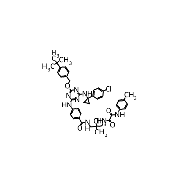 Cc1ccc(NC(=O)C(=O)NCC(C)(C)CNC(=O)c2ccc(Nc3nc(NC4(c5ccc(Cl)cc5)CC4)nc(OCc4ccc(C(C)(C)C)cc4)n3)cc2)cc1